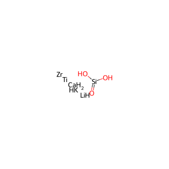 O=[Si](O)O.[CaH2].[KH].[LiH].[Ti].[Zr]